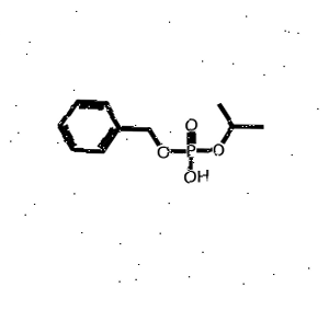 CC(C)OP(=O)(O)OCc1ccccc1